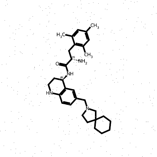 Cc1cc(C)c(C[C@H](N)C(=O)N[C@@H]2CCNc3ccc(CN4CCC5(CCCCC5)C4)cc32)c(C)c1